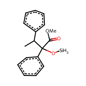 COC(=O)C(O[SiH3])(c1ccccc1)C(C)c1ccccc1